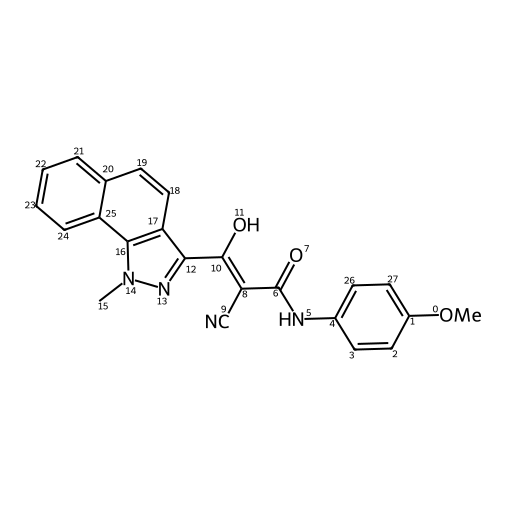 COc1ccc(NC(=O)/C(C#N)=C(\O)c2nn(C)c3c2ccc2ccccc23)cc1